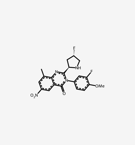 COc1ccc(-n2c([C@H]3C[C@H](F)CN3)nc3c(C)cc([N+](=O)[O-])cc3c2=O)cc1F